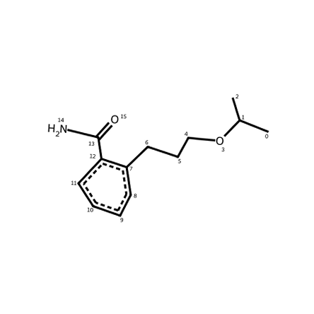 CC(C)OCCCc1ccccc1C(N)=O